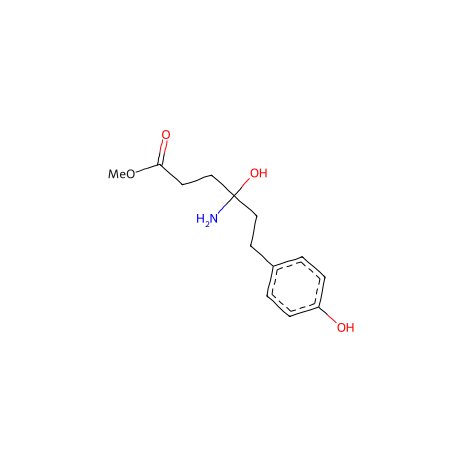 COC(=O)CCC(N)(O)CCc1ccc(O)cc1